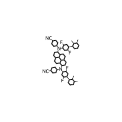 Cc1cccc(-c2cc(F)c(N(c3ccc(C#N)cc3)c3ccc4ccc5c(N(c6ccc(C#N)cc6)c6cc(F)c(-c7cccc(C)c7C)cc6F)ccc6ccc3c4c65)cc2F)c1C